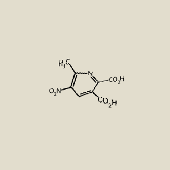 Cc1nc(C(=O)O)c(C(=O)O)cc1[N+](=O)[O-]